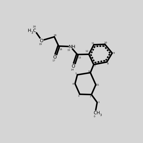 CCC1CCCC(c2ccccc2C(=O)NC(=O)COC)C1